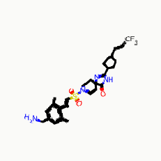 Cc1cc(CN)cc(C)c1/C=C/S(=O)(=O)N1CCC2(CC1)N=C(C1CCC(CCC(F)(F)F)CC1)NC2=O